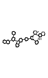 CC1CC=CC2=C1c1cc3c(cc1Nc1ccccc1-c1cc2cc(-c2ccc(-c4ccc5c(c4)c4ccccc4n5-c4cc(-c5ccccc5)cc(-c5ccc6ccccc6c5)c4)cc2)c1)C=CCC3